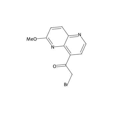 COc1ccc2nccc(C(=O)CBr)c2n1